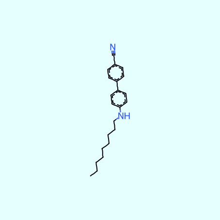 CCCCCCCCCNc1ccc(-c2ccc(C#N)cc2)cc1